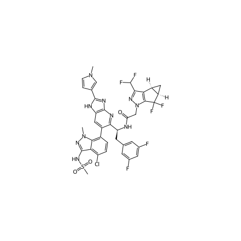 Cn1ccc(-c2nc3nc([C@H](Cc4cc(F)cc(F)c4)NC(=O)Cn4nc(C(F)F)c5c4C(F)(F)[C@@H]4C[C@H]54)c(-c4ccc(Cl)c5c(NS(C)(=O)=O)nn(C)c45)cc3[nH]2)c1